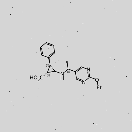 CCOc1ncc([C@H](C)NC2[C@H](C(=O)O)[C@H]2c2ccccc2)cn1